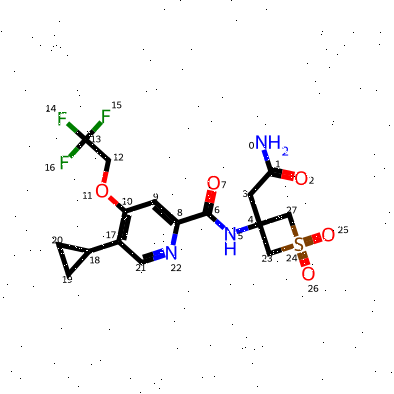 NC(=O)CC1(NC(=O)c2cc(OCC(F)(F)F)c(C3CC3)cn2)CS(=O)(=O)C1